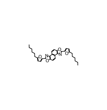 CCCCCCc1ccc(-c2nc3c(ccc4c3ccc3oc(-c5ccc(CCCCCC)o5)nc34)o2)o1